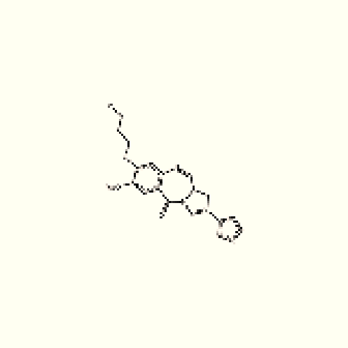 COc1cc2c(cc1OCCCBr)N=CC1CC(c3ccsc3)=CN1C2=O